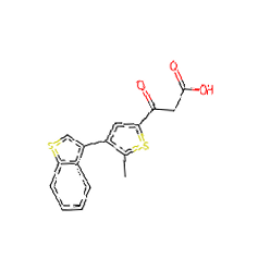 Cc1sc(C(=O)CC(=O)O)cc1-c1csc2ccccc12